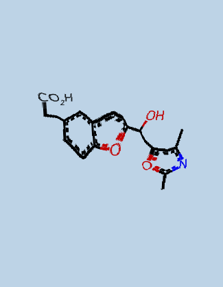 Cc1nc(C)c(C(O)c2cc3cc(CC(=O)O)ccc3o2)o1